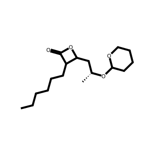 CCCCCCC1C(=O)OC1C[C@@H](C)OC1CCCCO1